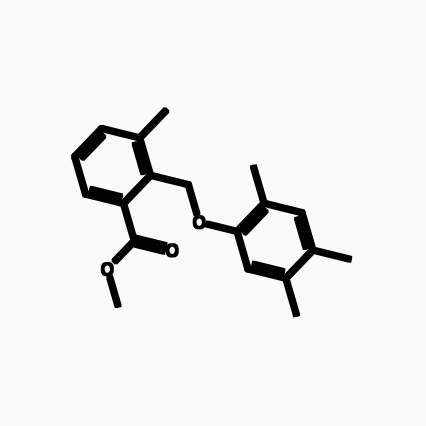 COC(=O)c1cccc(C)c1COc1cc(C)c(C)cc1C